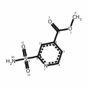 COC(=O)c1ccnc(S(N)(=O)=O)c1